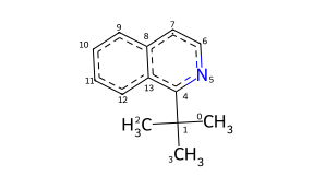 CC(C)(C)c1nc[c]c2ccccc12